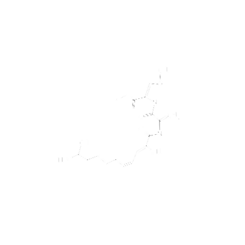 C=C(NC(=O)/C(C)=C/C=C\CCCCC(C)C)C(=O)N/C(=C\OC)C(=O)OC